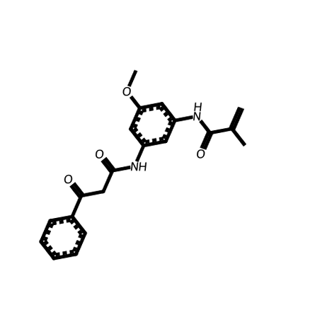 C=C(C)C(=O)Nc1cc(NC(=O)CC(=O)c2ccccc2)cc(OC)c1